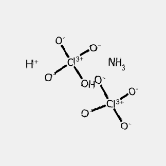 N.[H+].[O-][Cl+3]([O-])([O-])O.[O-][Cl+3]([O-])([O-])[O-]